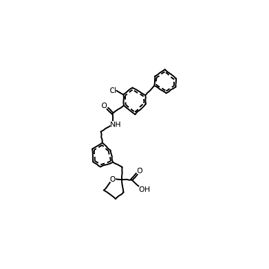 O=C(NCc1cccc(CC2(C(=O)O)CCCO2)c1)c1ccc(-c2ccccc2)cc1Cl